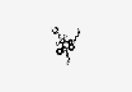 N#CCCCn1cc(C2=C(c3cn(CCCC#N)c4ccccc34)C(=O)N(CCN3CCOCC3)C2=O)c2ccccc21